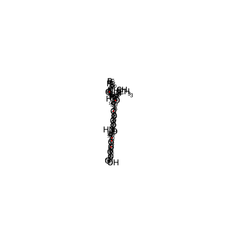 CCN(CC)c1ccc(NC(=O)c2cccc(CCCOCCOCCOCCOCCNC(=O)c3cccc(CCCOCCOCCOCCOCCC(=O)O)c3)c2)c(-c2cc(C(=O)NCc3cccc(C(F)(F)F)c3)ccn2)c1